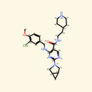 COc1ccc(CNc2nc(N3CC4CC4C3)ncc2C(=O)NCCC2CCNCC2)cc1Cl